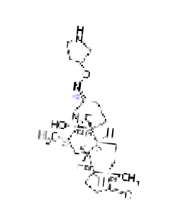 C[C@H]1C[C@H]2[C@@H]3CCC(=O)[C@@]3(C)CC[C@@H]2[C@@]2(C)CC/C(=N\OC3CCNC3)C[C@]12O